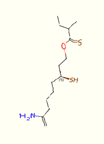 C=C(N)CCCC[C@H](S)CCOC(=S)C(C)CC